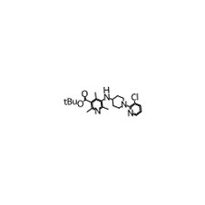 Cc1nc(C)c(C(=O)OC(C)(C)C)c(C)c1NC1CCN(c2ncccc2Cl)CC1